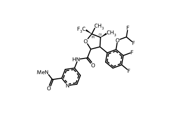 CNC(=O)c1cc(NC(=O)C2O[C@@](C)(C(F)(F)F)[C@@H](C)C2c2ccc(F)c(F)c2OC(F)F)ccn1